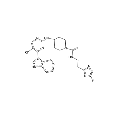 O=C(NCCc1noc(F)n1)N1CCC(Nc2ncc(Cl)c(-c3c[nH]c4ccccc34)n2)CC1